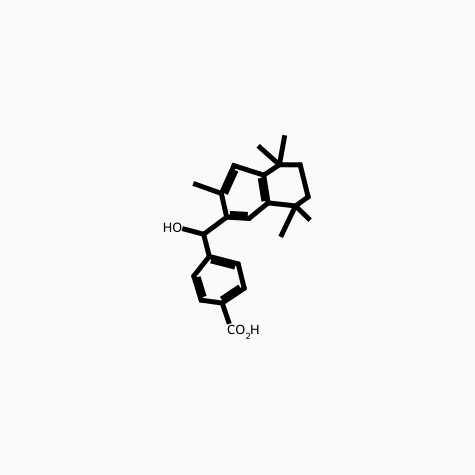 Cc1cc2c(cc1C(O)c1ccc(C(=O)O)cc1)C(C)(C)CCC2(C)C